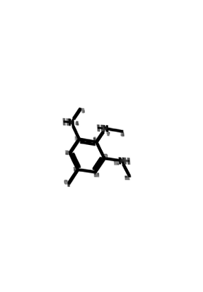 [CH2]c1cc(NC)c(NC)c(NC)c1